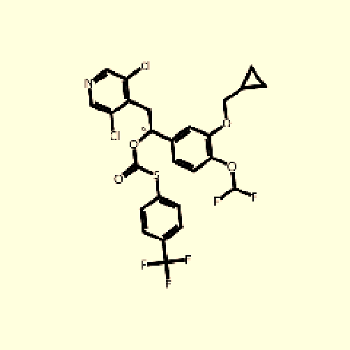 O=C(O[C@@H](Cc1c(Cl)cncc1Cl)c1ccc(OC(F)F)c(OCC2CC2)c1)Sc1ccc(C(F)(F)F)cc1